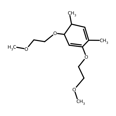 COCCOC1=CC(OCCOC)C(C)C=C1C